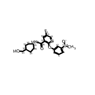 C[S+]([O-])c1cccc(Oc2ncc(F)cc2C(=O)NC2CCC(CO)CC2)c1